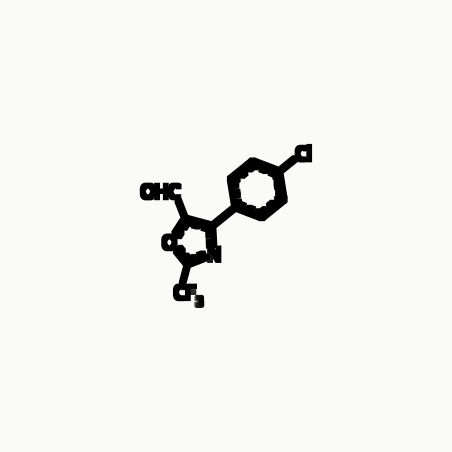 O=Cc1oc(C(F)(F)F)nc1-c1ccc(Cl)cc1